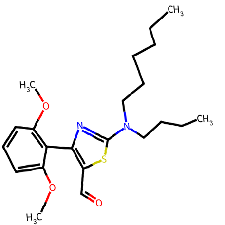 CCCCCCN(CCCC)c1nc(-c2c(OC)cccc2OC)c(C=O)s1